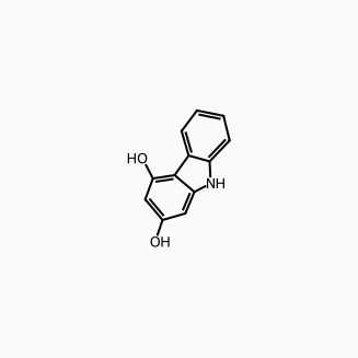 Oc1cc(O)c2c(c1)[nH]c1ccccc12